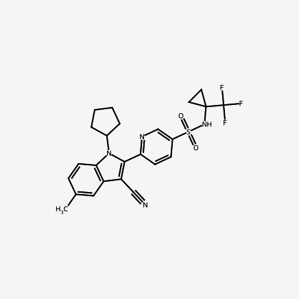 Cc1ccc2c(c1)c(C#N)c(-c1ccc(S(=O)(=O)NC3(C(F)(F)F)CC3)cn1)n2C1CCCC1